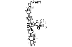 CCCCCOC(=O)CN1CCC(N2CCN(C(=O)[C@@H](Cc3cc(Cl)c(N)c(C(F)(F)F)c3)OC(=O)N3CCC(N4CCc5ccccc5NC4=O)CC3)CC2)CC1